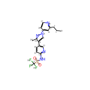 CCCc1cc(-n2cc(-c3ccc(NS(=O)(=O)C(F)(F)F)nc3)c(C)n2)ccn1